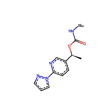 C[C@H](OC(=O)NC(C)(C)C)c1ccc(-n2cccn2)nc1